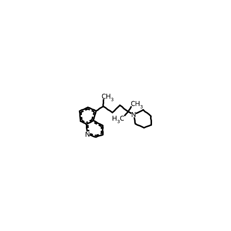 CC(CCC(C)(C)N1CCCCC1)c1cccc2ncccc12